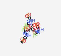 CC(O)C(CC(C[C@@H](Oc1nc(Nc2ccc(S(C)(=O)=O)cc2)ncc1C(F)(F)F)C(C)(C)O)[C@@H](O)[C@@H](C)Oc1nc(Nc2ccc(S(=O)(=O)C3CC3)cc2)ncc1C(F)(F)F)Oc1nc(Nc2ccc(S(C)(=O)=O)cc2)ncc1C(F)(F)F